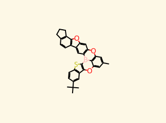 Cc1cc2c3c(c1)Oc1c(sc4ccc(C(C)(C)C)cc14)B3c1cc3c(cc1O2)oc1c2c(ccc13)CCC2